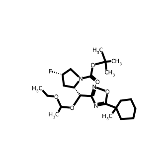 CCOC(C)OC(c1noc(C2(C)CCCCC2)n1)[C@@H]1C[C@H](F)CN1C(=O)OC(C)(C)C